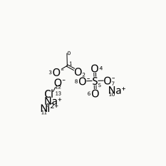 CC(=O)[O-].O=S(=O)([O-])[O-].[Na+].[Na+].[Ni+2].[O-]Cl